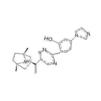 C=C(c1cnc(-c2ccc(-n3ccnc3)cc2O)nn1)[C@H]1C[C@]2(C)CC[C@](C)(C1)N2